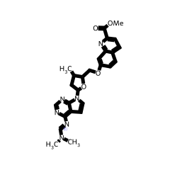 COC(=O)c1ccc2ccc(OCC3OC(n4ccc5c(/N=C/N(C)C)ncnc54)CC3C)cc2n1